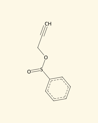 C#CCOS(=O)c1ccccc1